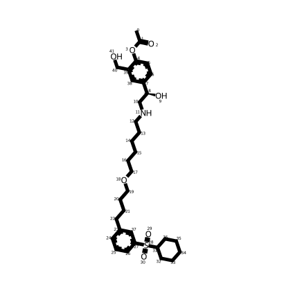 CC(=O)Oc1ccc([C@@H](O)CNCCCCCCOCCCCc2cccc(S(=O)(=O)C3CCCCC3)c2)cc1CO